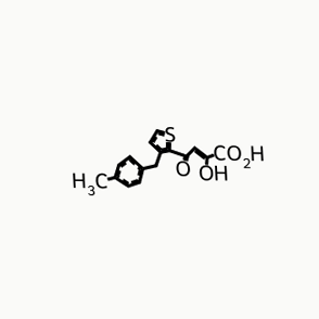 Cc1ccc(Cc2ccsc2C(=O)/C=C(\O)C(=O)O)cc1